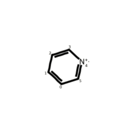 [C]1=CC=C[N+]=C1